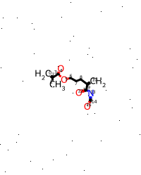 C=C(C)C(=O)OCCCC(=C)C(=O)N=C=O